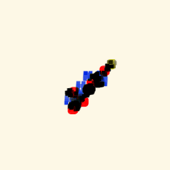 CC(C)(C)OC(=O)N[C@@H](Cc1ccc(Oc2ccnc3c2c(C#N)cn3COCCS(C)(C)C)cc1)C(=O)NC1CCOCC1